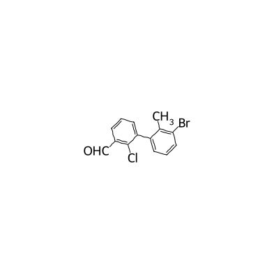 Cc1c(Br)cccc1-c1cccc(C=O)c1Cl